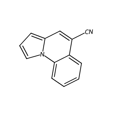 N#Cc1cc2cccn2c2ccccc12